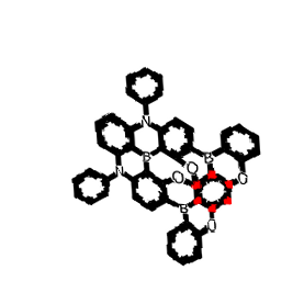 c1ccc(N2c3cccc4c3B(c3c2ccc2c3Oc3cccc5c3B2c2ccccc2O5)c2c(ccc3c2Oc2cccc5c2B3c2ccccc2O5)N4c2ccccc2)cc1